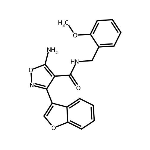 COc1ccccc1CNC(=O)c1c(-c2coc3ccccc23)noc1N